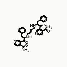 NC(=O)c1ccncc1C(=O)C(Cc1ccccc1)NCCCCNC(Cc1ccccc1)C(=O)c1cnccc1C(N)=O